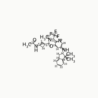 CC(=O)NC12CC(C(=O)N(C)C(c3ccc(N[C@H]4Cc5ccccc5C4(C)C)cn3)C(F)(F)F)(C1)C2